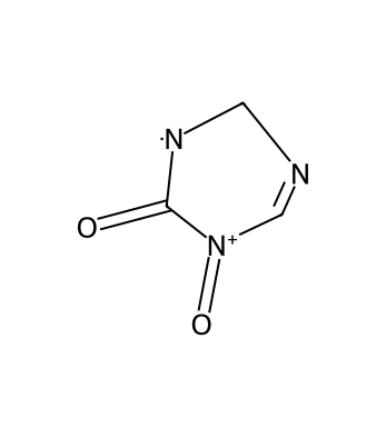 O=C1[N]CN=C[N+]1=O